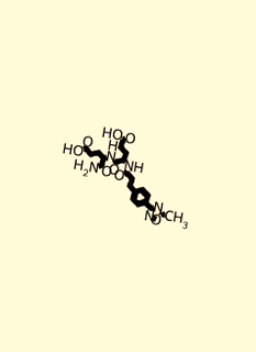 Cc1nc(-c2ccc(CCC(=O)NC(CCC(=O)O)C(=O)NC(CCC(=O)O)C(N)=O)cc2)no1